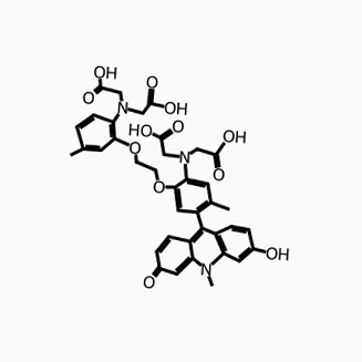 Cc1ccc(N(CC(=O)O)CC(=O)O)c(OCCOc2cc(-c3c4ccc(=O)cc-4n(C)c4cc(O)ccc34)c(C)cc2N(CC(=O)O)CC(=O)O)c1